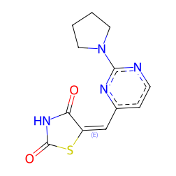 O=C1NC(=O)/C(=C\c2ccnc(N3CCCC3)n2)S1